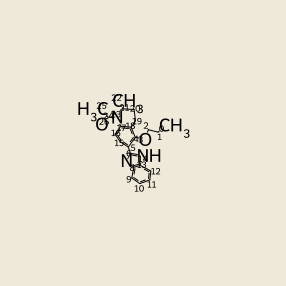 CCCOc1c(-c2nc3ccccc3[nH]2)ccc2c1CC[C@H](C)N2C(C)=O